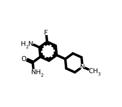 CN1CCC(c2cc(F)c(N)c(C(N)=O)c2)CC1